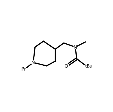 CC(C)N1CCC(CN(C)C(=O)C(C)(C)C)CC1